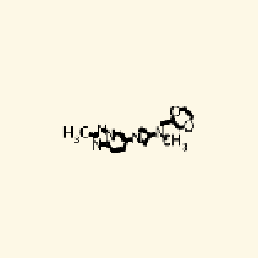 Cc1nc2ccc(N3CC(N(C)CC4COCCO4)C3)cn2n1